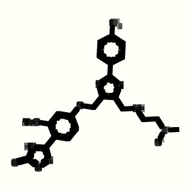 COc1cc(OCc2sc(-c3ccc(C(F)(F)F)cc3)nc2CNCC[S+](C)[O-])ccc1-c1noc(=O)[nH]1